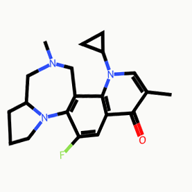 Cc1cn(C2CC2)c2c3c(c(F)cc2c1=O)N1CCCC1CN(C)C3